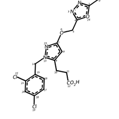 Cc1nnc(COc2cc(CCC(=O)O)n(Cc3ccc(Cl)cc3Cl)n2)o1